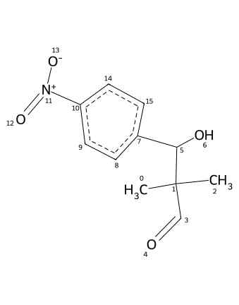 CC(C)(C=O)C(O)c1ccc([N+](=O)[O-])cc1